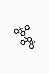 CC1(C)c2ccccc2-c2cc(-n3c4ccccc4c4c5c(ccc43)oc3ccccc35)cc(-c3ccccc3)c21